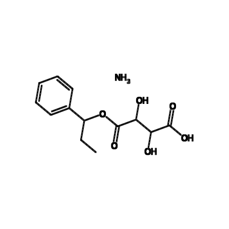 CCC(OC(=O)C(O)C(O)C(=O)O)c1ccccc1.N